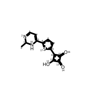 CC1N=CC=C(c2ccc(-c3c(O)c(=O)c3=O)s2)N1